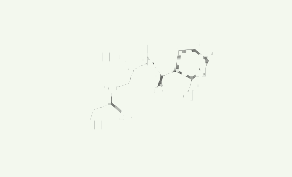 CCC(=O)OC[C@H](C)NC(=O)c1cccnc1Cl